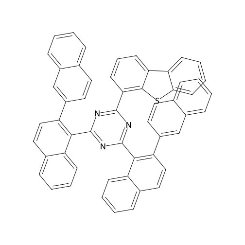 c1ccc2cc(-c3ccc4ccccc4c3-c3nc(-c4c(-c5ccc6ccccc6c5)ccc5ccccc45)nc(-c4cccc5c4sc4ccccc45)n3)ccc2c1